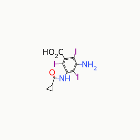 Nc1c(I)c(NC(=O)C2CC2)c(I)c(C(=O)O)c1I